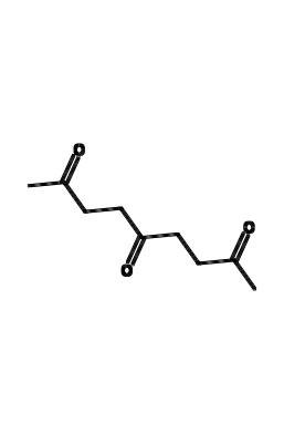 CC(=O)CCC(=O)CCC(C)=O